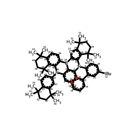 Cc1cc2c3c(c1)N(c1ccc(C(C)(C)C)cc1-c1ccccc1)c1c(oc4c1C(C)(C)CCC4(C)C)B3c1ccc3c(c1N2c1ccc2c(c1)C(C)(C)CCC2(C)C)C(C)(C)CCC3(C)C